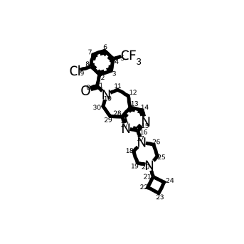 O=C(c1cc(C(F)(F)F)ccc1Cl)N1CCc2cnc(N3CCN(C4CCC4)CC3)nc2CC1